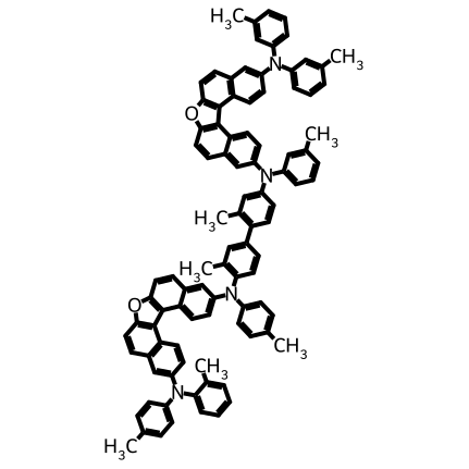 Cc1ccc(N(c2ccc3c(ccc4oc5ccc6cc(N(c7ccc(C)cc7)c7ccc(-c8ccc(N(c9cccc(C)c9)c9ccc%10c(ccc%11oc%12ccc%13cc(N(c%14cccc(C)c%14)c%14cccc(C)c%14)ccc%13c%12c%11%10)c9)cc8C)cc7C)ccc6c5c43)c2)c2ccccc2C)cc1